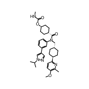 CNC(=O)O[C@H]1CC[C@H](C(=O)N(C[C@H]2CC[C@H](c3ccc(OC)c(C)n3)CC2)c2cccc(-c3cnn(C(C)C)c3)c2)CC1